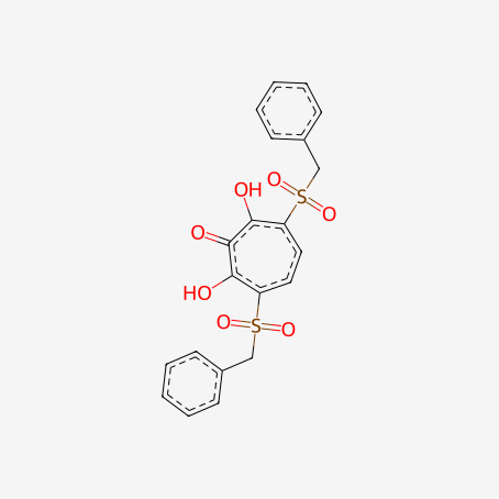 O=c1c(O)c(S(=O)(=O)Cc2ccccc2)ccc(S(=O)(=O)Cc2ccccc2)c1O